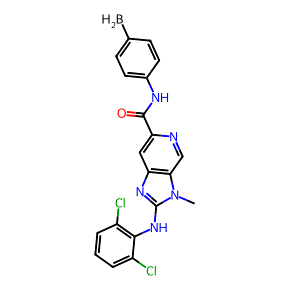 Bc1ccc(NC(=O)c2cc3nc(Nc4c(Cl)cccc4Cl)n(C)c3cn2)cc1